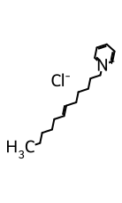 CCCCCC=CCCCCC[n+]1ccccc1.[Cl-]